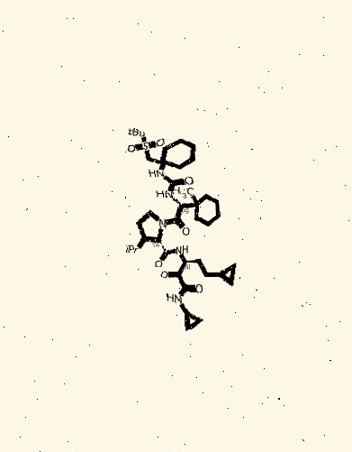 CC(C)C1CCN(C(=O)[C@@H](NC(=O)NC2(CS(=O)(=O)C(C)(C)C)CCCCC2)C2(C)CCCCC2)[C@@H]1C(=O)N[C@@H](CCC1CC1)C(=O)C(=O)NC1CC1